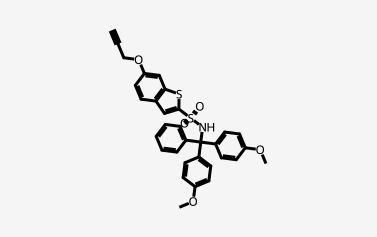 C#CCOc1ccc2cc(S(=O)(=O)NC(c3ccccc3)(c3ccc(OC)cc3)c3ccc(OC)cc3)sc2c1